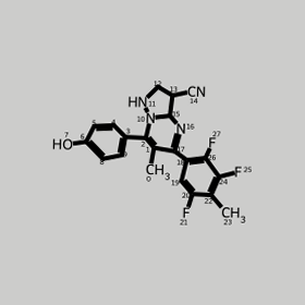 CC1=C(c2ccc(O)cc2)N2NCC(C#N)C2N=C1c1cc(F)c(C)c(F)c1F